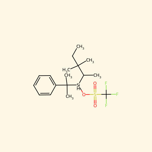 CCC(C)(C)C(C)[SiH](OS(=O)(=O)C(F)(F)F)C(C)(C)c1ccccc1